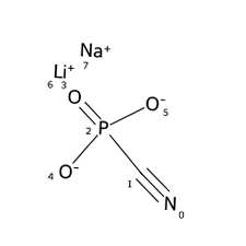 N#CP(=O)([O-])[O-].[Li+].[Na+]